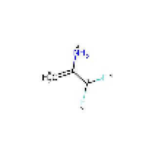 C=C(N)C(F)F